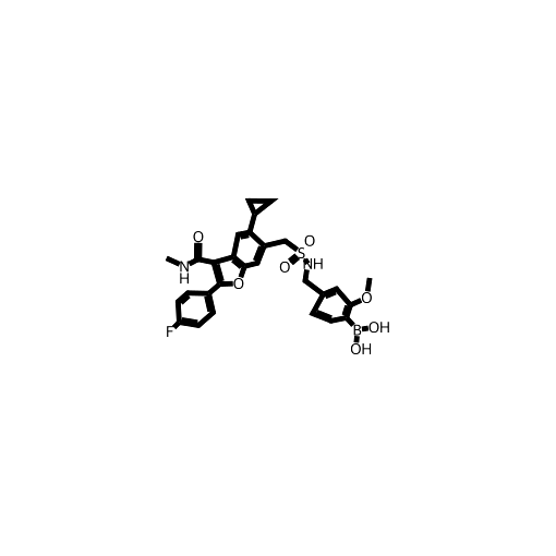 CNC(=O)c1c(-c2ccc(F)cc2)oc2cc(CS(=O)(=O)NCc3ccc(B(O)O)c(OC)c3)c(C3CC3)cc12